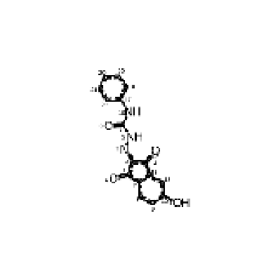 O=C(NN=c1c(=O)c2ccc(O)cc2c1=O)Nc1ccccc1